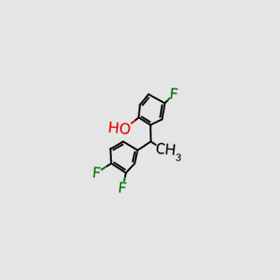 CC(c1ccc(F)c(F)c1)c1cc(F)ccc1O